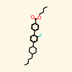 CCCCOC(=O)c1ccc(-c2ccc(C3CCC(CCCC)CC3)cc2F)cc1